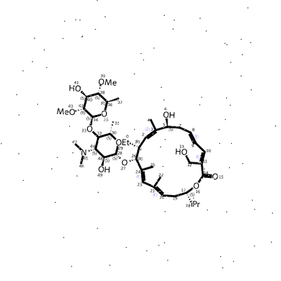 CC[C@@H]1/C=C(/C)[C@@H](O)C/C=C/C=C(\CO)C(=O)O[C@H](C(C)C)C/C=C(C)/C=C(\C)[C@@H]1O[C@H]1O[C@@H](C)C(O[C@@H]2O[C@H](C)[C@@H](OC)[C@H](O)[C@H]2OC)[C@@H](N(C)C)[C@@H]1O